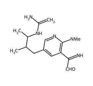 C=C(N)NC(C)C(C)Cc1cnc(NC)c(C(=N)C=O)c1